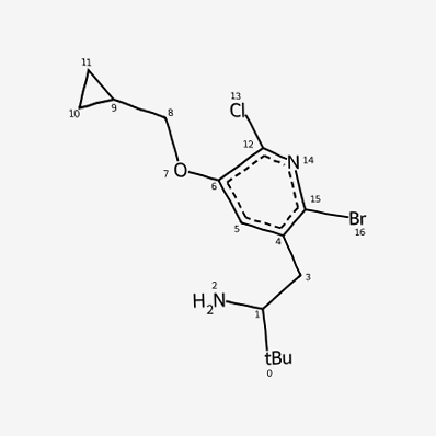 CC(C)(C)C(N)Cc1cc(OCC2CC2)c(Cl)nc1Br